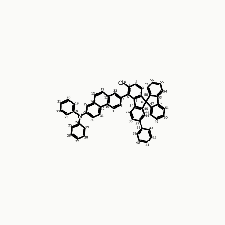 Clc1ccc2c(c1-c1ccc3c(ccc4cc(N(c5ccccc5)c5ccccc5)ccc43)c1)-c1ccc(-c3ccccc3)cc1C21c2ccccc2-c2ccccc21